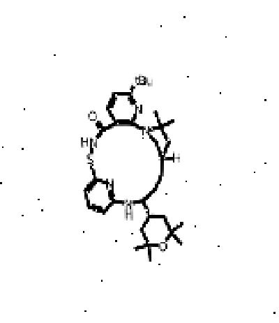 CC1(C)CC(C2CC[C@@H]3CN(c4nc(C(C)(C)C)ccc4C(=O)NSc4cccc(n4)N2)C(C)(C)C3)CC(C)(C)O1